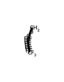 C=CCOCCOC(F)=C(F)C(F)(F)C(F)(F)C(F)(F)C(F)(F)C(F)(F)C(F)(F)C(F)(F)F